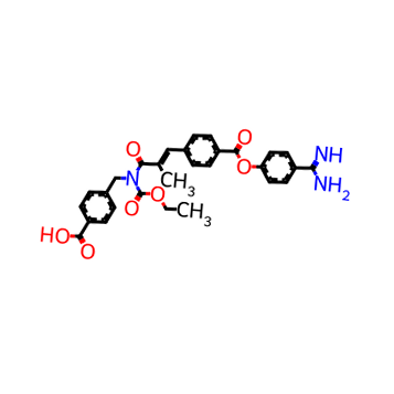 CCOC(=O)N(Cc1ccc(C(=O)O)cc1)C(=O)/C(C)=C/c1ccc(C(=O)Oc2ccc(C(=N)N)cc2)cc1